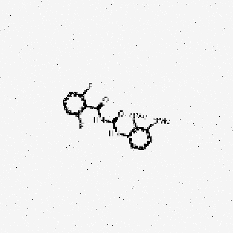 COc1cccc(NC(=O)NC(=O)c2c(F)cccc2F)c1OC